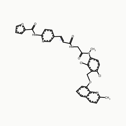 Cc1ccc2cccc(OCc3c(Cl)ccc(N(C)C(=O)CNC(=O)/C=C/c4ccc(NC(=O)c5ccco5)nc4)c3Cl)c2n1